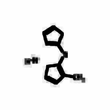 CC1=[C]([Ti][C]2=CC=CC2)CC=C1.[H-].[H-]